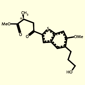 COC(=O)[C@@H](C)CC(=O)c1cc2cc(CCCO)c(OC)cc2s1